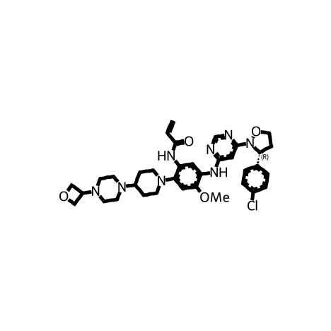 C=CC(=O)Nc1cc(Nc2cc(N3OCC[C@@H]3c3ccc(Cl)cc3)ncn2)c(OC)cc1N1CCC(N2CCN(C3COC3)CC2)CC1